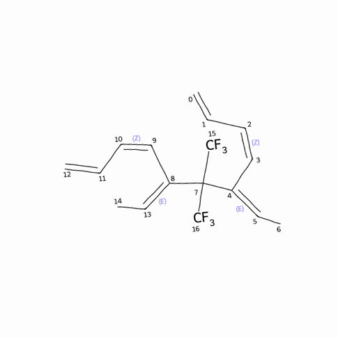 C=C/C=C\C(=C/C)C(C(/C=C\C=C)=C/C)(C(F)(F)F)C(F)(F)F